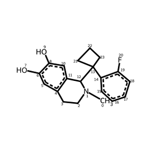 CN1CCc2cc(O)c(O)cc2C1C1(c2ccccc2F)CCC1